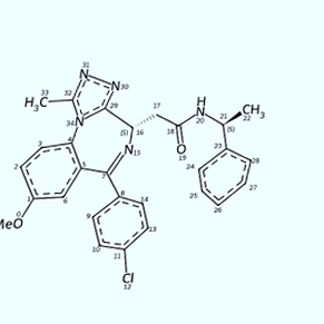 COc1ccc2c(c1)C(c1ccc(Cl)cc1)=N[C@@H](CC(=O)N[C@@H](C)c1ccccc1)c1nnc(C)n1-2